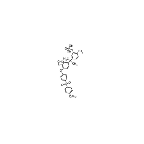 COc1ccc(S(=O)(=O)c2ccc(Oc3ccc(C(C)(C)c4ccc(C)c(CP(=O)(O)O)c4)cc3CC=O)cc2)cc1